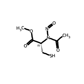 COC(=O)[C@@H](CS)N(N=O)C(C)=O